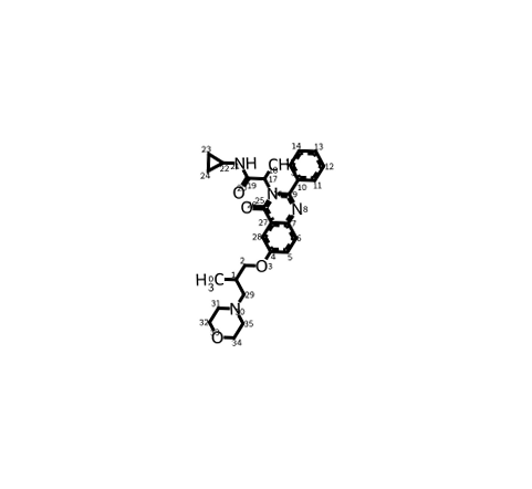 CC(COc1ccc2nc(-c3ccccc3)n(C(C)C(=O)NC3CC3)c(=O)c2c1)CN1CCOCC1